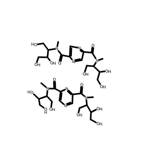 CN(C(=O)c1cnc(C(=O)N(C)C(CO)C(O)CO)cn1)C(CO)C(O)CO.CN(C(=O)c1cncc(C(=O)N(C)C(CO)C(O)CO)n1)C(CO)C(O)CO